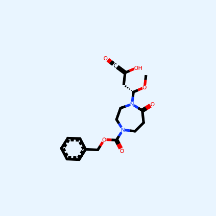 CO[C@@H](CC(O)=C=O)N1CCN(C(=O)OCc2ccccc2)CCC1=O